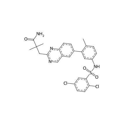 Cc1ccc(NS(=O)(=O)c2cc(Cl)ccc2Cl)cc1-c1ccc2nc(CC(C)(C)C(N)=O)ncc2c1